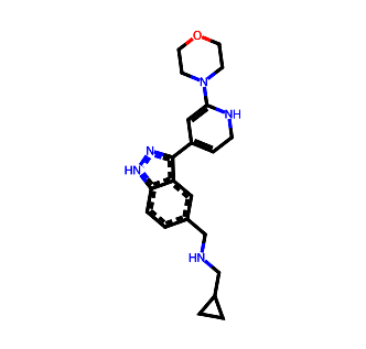 C1=C(c2n[nH]c3ccc(CNCC4CC4)cc23)C=C(N2CCOCC2)NC1